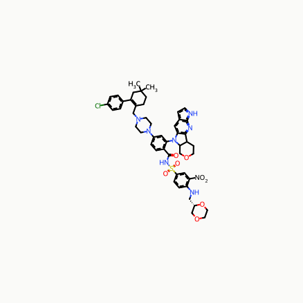 CC1(C)CCC(CN2CCN(c3ccc(C(=O)NS(=O)(=O)c4ccc(NC[C@H]5COCCO5)c([N+](=O)[O-])c4)c(N4c5cc6cc[nH]c6nc5C5CCOCC54)c3)CC2)=C(c2ccc(Cl)cc2)C1